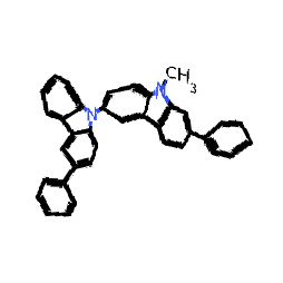 Cn1c2ccc(-n3c4ccccc4c4cc(-c5ccccc5)ccc43)cc2c2ccc(-c3ccccc3)cc21